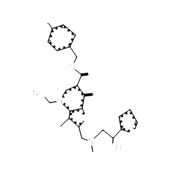 Cc1c(CN(C)CC(O)c2ccco2)sc2c(=O)c(C(=O)NCc3ccc(Cl)cc3)cn(CC#N)c12